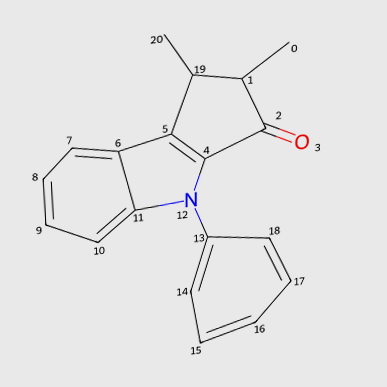 CC1C(=O)c2c(c3ccccc3n2-c2ccccc2)C1C